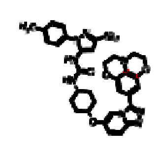 Cc1ccc(-n2nc(C(C)(C)C)cc2NC(=O)N[C@H]2CC[C@@H](Oc3ccc4nnc(-c5cccc(OCCN6CCOCC6)c5)n4c3)CC2)cc1